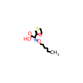 CCCCCCO/N=C(/C(=O)O)C1=CSCCO1